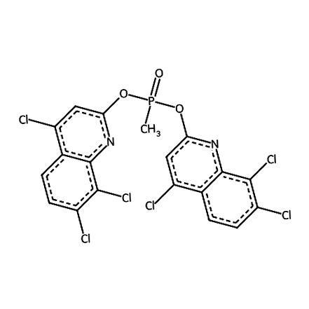 CP(=O)(Oc1cc(Cl)c2ccc(Cl)c(Cl)c2n1)Oc1cc(Cl)c2ccc(Cl)c(Cl)c2n1